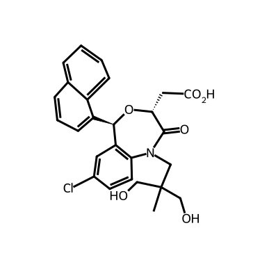 CC(CO)(CO)CN1C(=O)[C@@H](CC(=O)O)O[C@H](c2cccc3ccccc23)c2cc(Cl)ccc21